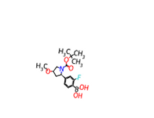 CO[C@@H]1C[C@H](c2ccc(B(O)O)c(F)c2)N(C(=O)OC(C)(C)C)C1